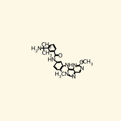 COc1ncc2ncnc(Nc3cc(NC(=O)c4cccc(C(C)(C)N)c4)ccc3C)c2n1